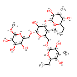 CCC1O[C@H](O[C@H]2C(O)[C@@H](OCC3O[C@H](OC)C(O)[C@H](O)[C@@H]3O)OC(CO[C@H]3OC(CC)[C@@H](O)[C@@H](C)C3O)[C@H]2C)C(O)[C@H](C)[C@@H]1O